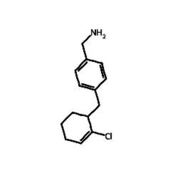 NCc1ccc(CC2CCCC=C2Cl)cc1